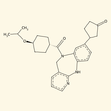 CC(C)O[C@H]1CC[C@H](C(=O)N2Cc3cccnc3Nc3ccc(C4CCC(=O)C4)cc32)CC1